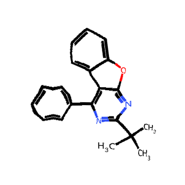 CC(C)(C)c1nc(-c2ccccc2)c2c(n1)oc1ccccc12